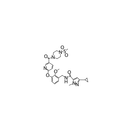 COc1c(CNC(=O)c2cc(C3CC3)nn2C)cccc1Oc1ccc(C(=O)N2CCN(S(C)(=O)=O)CC2)cn1